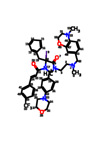 CN(CCN(C)C(=O)C(I)(Cc1ccccc1)N(Cc1ccc(N2CCOCC2)cc1)C(=O)C=Cc1ccc(C(F)(F)F)cc1)Cc1ccc2c(c1)OCCN2C